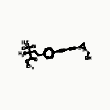 COC(=O)C(C)(CCc1ccc(C#CC#C[C@H]2C[C@@H]2CO)cc1)S(C)(=O)=O